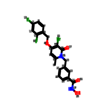 Cc1cc(OCc2ccc(F)cc2F)c(Br)c(=O)n1Cc1cccc(C(=O)NO)c1